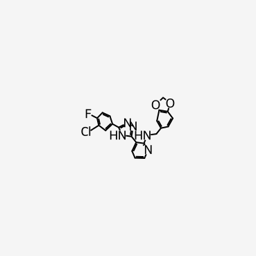 Fc1ccc(-c2nnc(-c3cccnc3NCc3ccc4c(c3)OCO4)[nH]2)cc1Cl